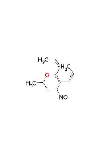 C/C=C\C1=C(/C=C\C)C(N=O)CC(C)O1